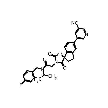 CC(N(Cc1ccc(F)cc1)C(=O)CN1C(=O)O[C@@]2(CCc3cc(-c4cncc(C#N)c4)ccc32)C1=O)C(F)(F)F